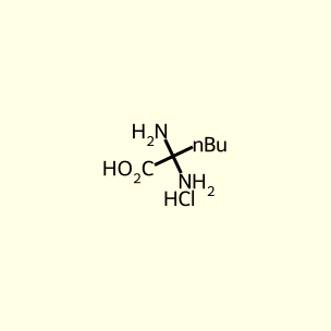 CCCCC(N)(N)C(=O)O.Cl